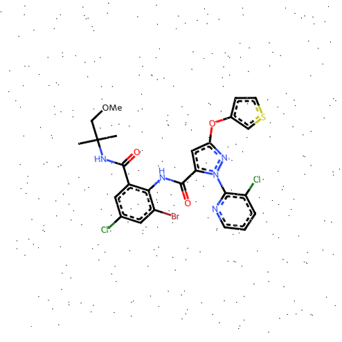 COCC(C)(C)NC(=O)c1cc(Cl)cc(Br)c1NC(=O)c1cc(Oc2ccsc2)nn1-c1ncccc1Cl